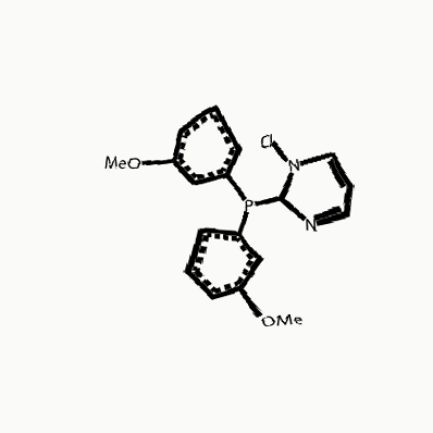 COc1cccc(P(c2cccc(OC)c2)C2N=CC=CN2Cl)c1